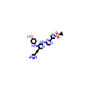 Cn1cnc(C#Cc2cnc(Nc3ccnc(-c4cnn(S(=O)(=O)C5CC5)c4)n3)cc2NC2CCC(O)CC2)c1